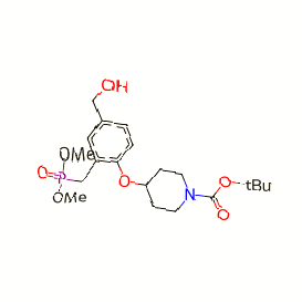 COP(=O)(Cc1cc(CO)ccc1OC1CCN(C(=O)OC(C)(C)C)CC1)OC